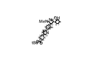 CNc1nnc(-c2ccccc2O)cc1N1CCN(c2ncc(N3CCN(C(=O)OC(C)(C)C)CC3)cn2)C[C@@H]1C